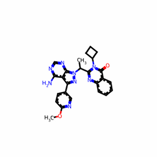 COc1ccc(-c2nn(C(C)c3nc4ccccc4c(=O)n3C3CCC3)c3ncnc(N)c23)cn1